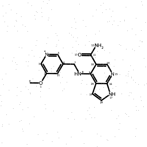 COc1cncc(CNc2c(C(N)=O)cnc3[nH]ccc23)c1